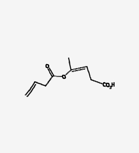 C=CCC(=O)OC(C)=CCC(=O)O